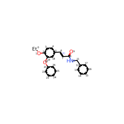 CCOc1ccc(/C=C/C(=O)NCc2ccccc2)cc1Oc1ccccc1